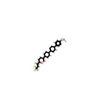 Cc1ccc(C2CCC(C3CCC(C4CCC(/C(F)=C/C(F)(F)F)OC4)CC3)CC2)cc1